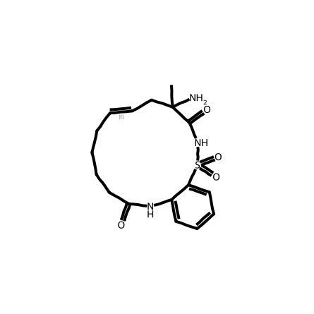 CC1(N)C/C=C/CCCCC(=O)Nc2ccccc2S(=O)(=O)NC1=O